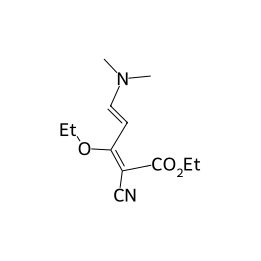 CCOC(=O)/C(C#N)=C(\C=C\N(C)C)OCC